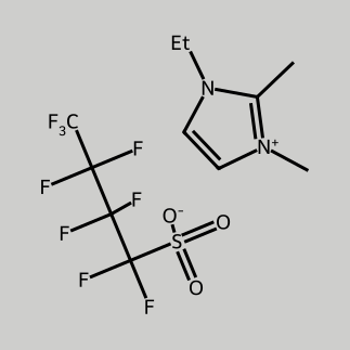 CCn1cc[n+](C)c1C.O=S(=O)([O-])C(F)(F)C(F)(F)C(F)(F)C(F)(F)F